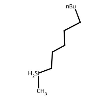 CCCCCCCCC[SiH2]C